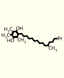 Cc1c(C)c(O)c(CCCCCCCCCC[C@H](C)CCCC(C)C)c(C)c1O